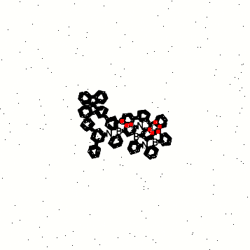 c1ccc(-c2cc(-c3ccccc3)cc(N3c4ccccc4B4c5cc6c(cc5Oc5cc(-c7ccc8c(c7)-c7ccccc7C87c8ccccc8-c8ccccc87)cc3c54)N(c3c(-c4ccccc4)cccc3-c3ccccc3)c3cc4c5c7c3B6c3ccccc3N7c3ccccc3B5c3ccccc3N4c3ccccc3)c2)cc1